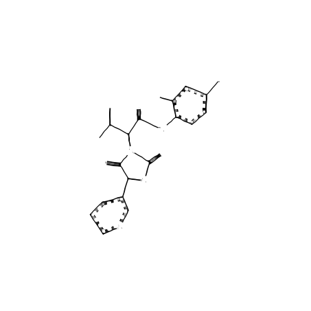 CC(C)C(C(=O)Nc1ccc(I)cc1F)N1C(=O)NC(c2cccnc2)C1=O